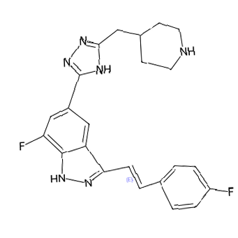 Fc1ccc(/C=C/c2n[nH]c3c(F)cc(-c4nnc(CC5CCNCC5)[nH]4)cc23)cc1